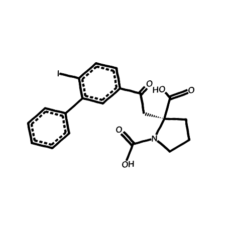 O=C(C[C@]1(C(=O)O)CCCN1C(=O)O)c1ccc(I)c(-c2ccccc2)c1